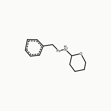 c1ccc([CH2][Po][SiH2]C2CCCCO2)cc1